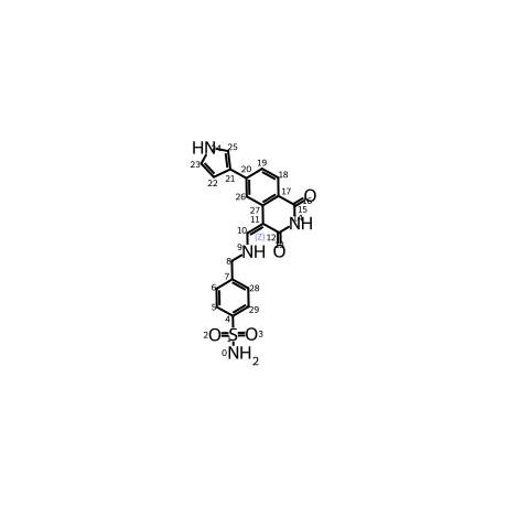 NS(=O)(=O)c1ccc(CN/C=C2\C(=O)NC(=O)c3ccc(-c4cc[nH]c4)cc32)cc1